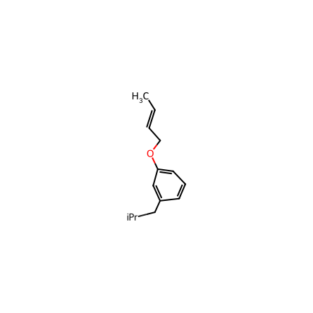 CC=CCOc1cccc(CC(C)C)c1